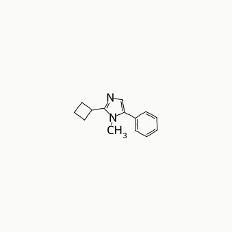 Cn1c(-c2ccccc2)cnc1C1CCC1